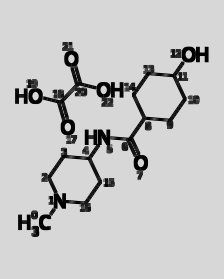 CN1CCC(NC(=O)C2CCC(O)CC2)CC1.O=C(O)C(=O)O